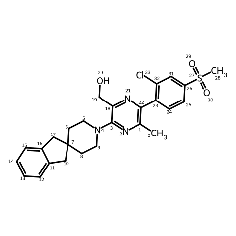 Cc1nc(N2CCC3(CC2)Cc2ccccc2C3)c(CO)nc1-c1ccc(S(C)(=O)=O)cc1Cl